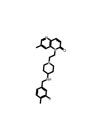 Cc1cnc2ccc(=O)n(CCN3CCC(NCc4ccc(C)c(F)c4)CC3)c2c1